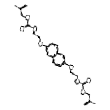 C=C(C)COC(=O)OCCOc1ccc2cc(OCCOC(=O)OCC(=C)C)ccc2c1